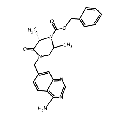 CC1CN(Cc2ccc3c(N)ncnc3c2)C(=O)[C@H](C)N1C(=O)OCc1ccccc1